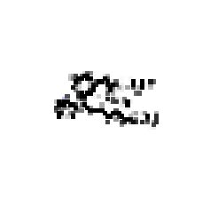 CCCCCCCC/C=C\CCCCCCCC(=O)O.CCOC(=O)C(Cc1ccncc1)OC(C)C